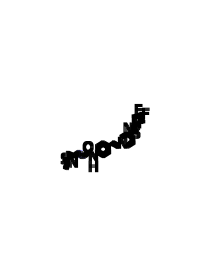 Cc1nc(/C=C/C(=O)N[C@H]2CC[C@H](CCN3CCc4sc(N5CC(F)(F)C5)nc4C3)CC2)cs1